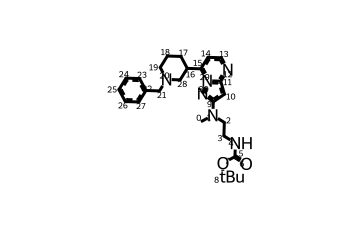 CN(CCNC(=O)OC(C)(C)C)c1cc2nccc(C3CCCN(Cc4ccccc4)C3)n2n1